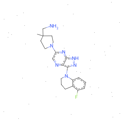 CC1(CN)CCN(c2cnc3c(N4CCCc5c(F)cccc54)n[nH]c3n2)CC1